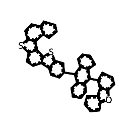 c1ccc2c(c1)ccc1sc3ccc4c5ccc(-c6c7ccccc7c(-c7cccc8oc9ccccc9c78)c7ccccc67)cc5sc4c3c12